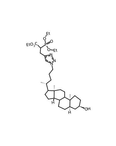 CCOC(=O)C(Cc1cn(CCC[C@@H](C)C2CC[C@H]3C4CC[C@@H]5C[C@H](O)CC[C@]5(C)C4CC[C@]23C)nn1)P(=O)(OCC)OCC